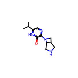 CC(C)c1cnc(N2CC3CNCC32)c(=O)[nH]1